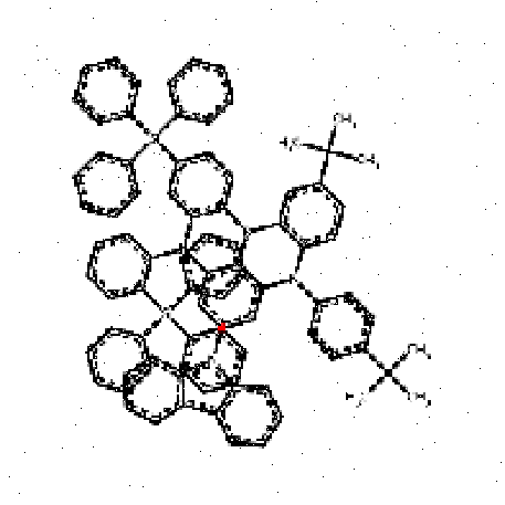 CC(C)(C)c1ccc(N2c3ccc(C(C)(C)C)cc3B3c4ccc([Si](c5ccccc5)(c5ccccc5)c5ccccc5)cc4N(c4ccccc4[Si](c4ccccc4)(c4ccccc4)c4ccccc4)c4cc(-n5c6ccccc6c6ccccc65)cc2c43)cc1